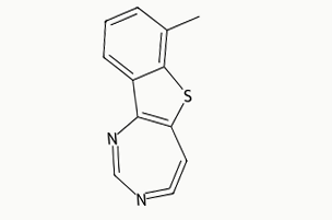 Cc1cccc2c3c(sc12)C=C=NC=N3